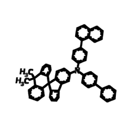 CC1(C)c2ccccc2C2(c3ccccc3-c3cc(N(c4ccc(-c5ccccc5)cc4)c4ccc(-c5cccc6ccccc56)cc4)ccc32)c2ccccc21